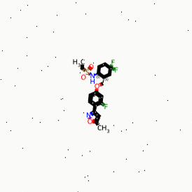 CCS(=O)(=O)N[C@H]1CCC(F)(F)C[C@@H]1COc1ccc(-c2cc(C)on2)c(F)c1